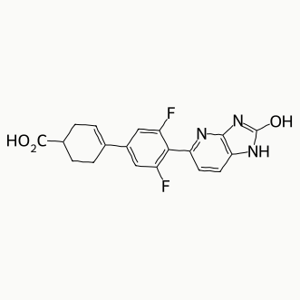 O=C(O)C1CC=C(c2cc(F)c(-c3ccc4[nH]c(O)nc4n3)c(F)c2)CC1